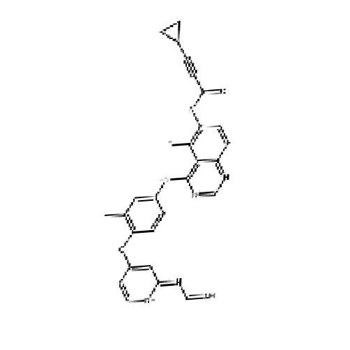 Cc1cc(Nc2ncnc3ccc(NC(=O)C#CC4CC4)c(F)c23)ccc1Oc1cc[nH]/c(=N\C=N)c1